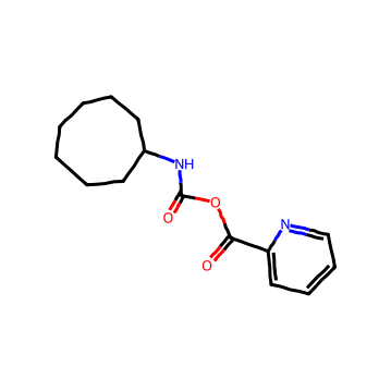 O=C(NC1CCCCCCC1)OC(=O)c1ccccn1